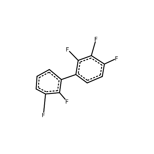 Fc1cccc(-c2ccc(F)c(F)c2F)c1F